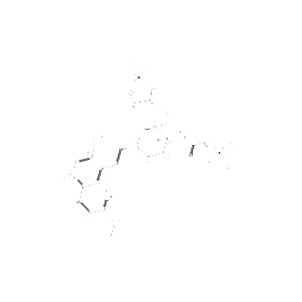 COc1ccc2ncc(F)c(C=C[C@@H]3CC[C@@H](NC(=O)OC(C)(C)C)[C@@H](CC4COC(C)(C)O4)O3)c2n1